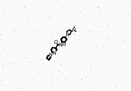 CN(C)C1CCN(c2ccc(NC(=O)c3ccc(-n4cccc4)nc3)cc2)C1